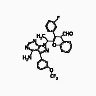 CC(C1=C(c2cccc(F)c2)C(C=O)c2ccccc2O1)n1nc(-c2cccc(OC(F)(F)F)c2)c2c(N)ncnc21